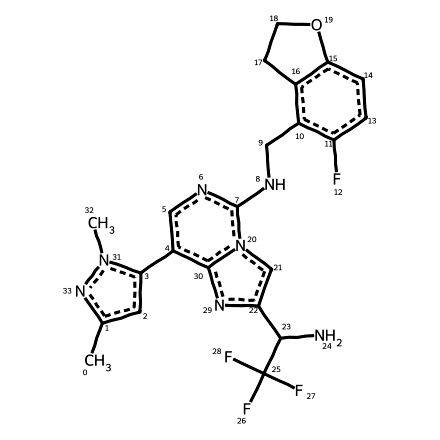 Cc1cc(-c2cnc(NCc3c(F)ccc4c3CCO4)n3cc(C(N)C(F)(F)F)nc23)n(C)n1